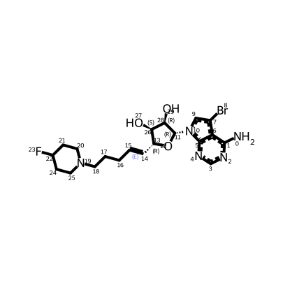 Nc1ncnc2c1c(Br)cn2[C@@H]1O[C@H](/C=C/CCCN2CCC(F)CC2)[C@@H](O)[C@H]1O